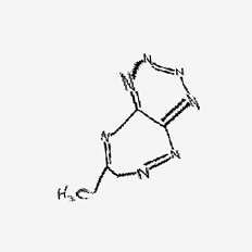 Cc1nnc2nnnnc2n1